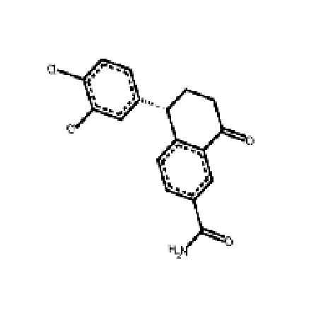 NC(=O)c1ccc2c(c1)C(=O)CC[C@H]2c1ccc(Cl)c(Cl)c1